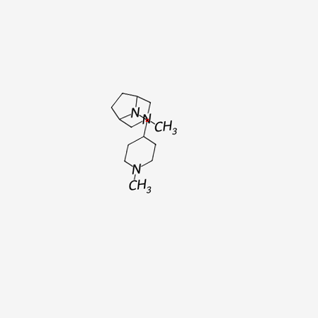 CN1CCC(CN2C3CCC2CN(C)C3)CC1